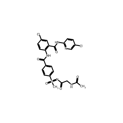 CC(=O)NCC(=O)N=S(C)(=O)c1ccc(C(=O)Nc2ccc(Cl)cc2C(=O)Nc2ccc(Cl)cn2)cc1